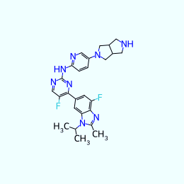 Cc1nc2c(F)cc(-c3nc(Nc4ccc(N5CC6CNCC6C5)cn4)ncc3F)cc2n1C(C)C